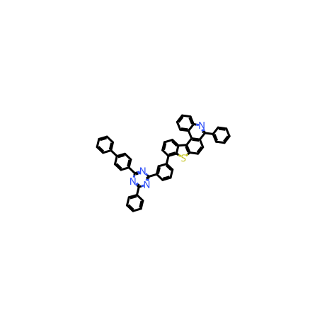 c1ccc(-c2ccc(-c3nc(-c4ccccc4)nc(-c4cccc(-c5cccc6c5sc5ccc7c(-c8ccccc8)nc8ccccc8c7c56)c4)n3)cc2)cc1